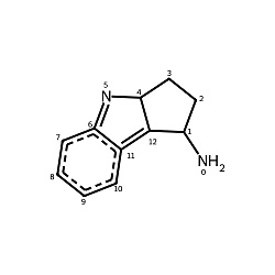 NC1CCC2N=c3ccccc3=C12